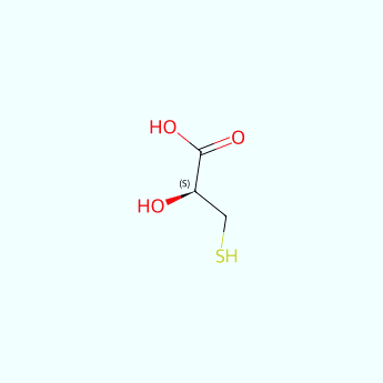 O=C(O)[C@H](O)CS